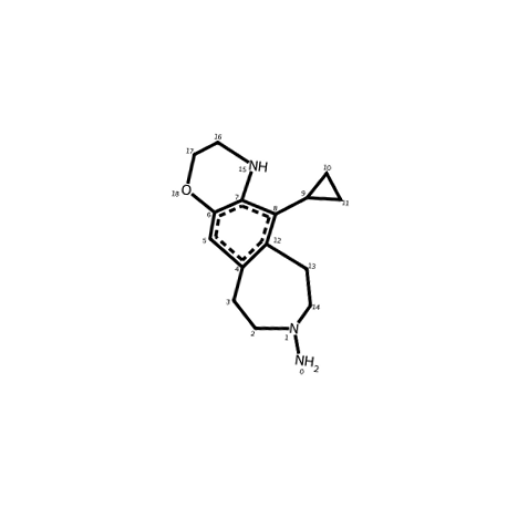 NN1CCc2cc3c(c(C4CC4)c2CC1)NCCO3